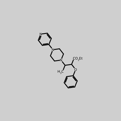 CCOC(=O)C(Oc1ccccc1)C(C)N1CCN(c2ccncc2)CC1